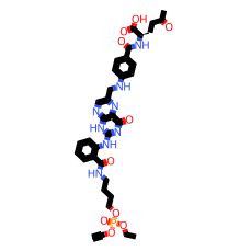 C#COP(=O)(OCC)OCCCCNC(=O)c1ccccc1Nc1nc(=O)c2nc(CNc3ccc(C(=O)N[C@@H](CCC(C)=O)C(=O)O)cc3)cnc2[nH]1